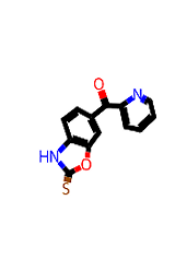 O=C(c1ccc2[nH]c(=S)oc2c1)c1ccccn1